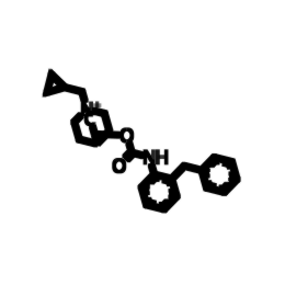 O=C(Nc1ccccc1Cc1ccccc1)OC1C[N+]2(CC3CC3)CCC1CC2